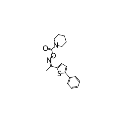 CC(=NOC(=O)N1CCCCC1)c1ccc(-c2ccccc2)s1